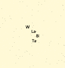 [B].[La].[Ta].[W]